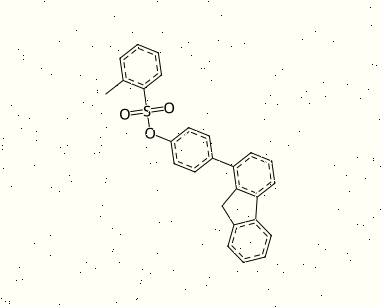 Cc1ccccc1S(=O)(=O)Oc1ccc(-c2cccc3c2Cc2ccccc2-3)cc1